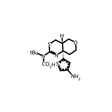 CC(C)(C)N(C(=O)O)C1=N[C@]2(c3cc(N)cs3)CCOC[C@H]2CS1